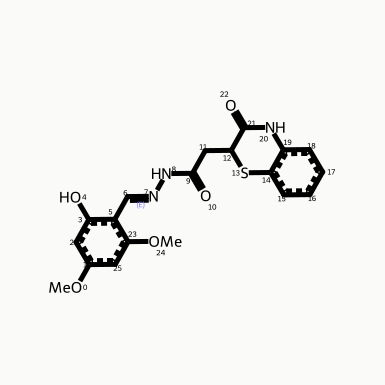 COc1cc(O)c(/C=N/NC(=O)CC2Sc3ccccc3NC2=O)c(OC)c1